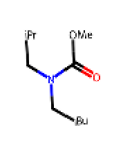 CCC(C)CN(CC(C)C)C(=O)OC